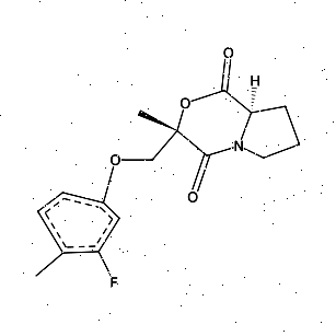 Cc1ccc(OC[C@]2(C)OC(=O)[C@H]3CCCN3C2=O)cc1F